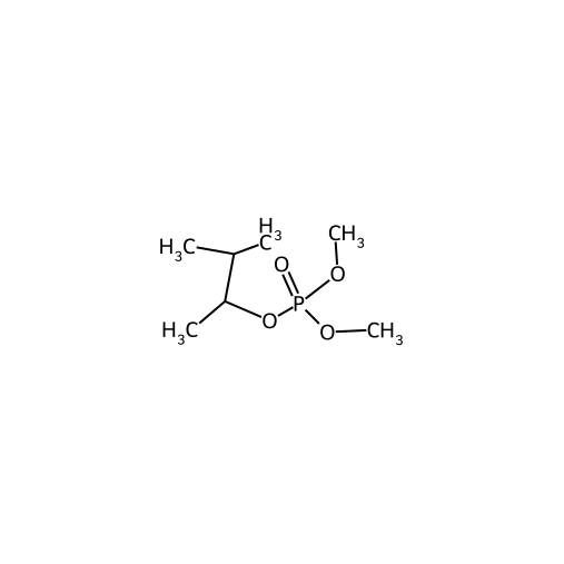 COP(=O)(OC)OC(C)C(C)C